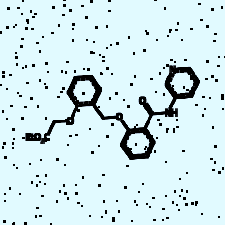 CCOC(=O)COc1ccccc1COc1ccccc1C(=O)Nc1cccnc1